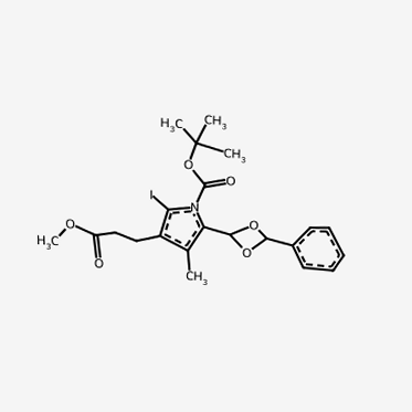 COC(=O)CCc1c(C)c(C2OC(c3ccccc3)O2)n(C(=O)OC(C)(C)C)c1I